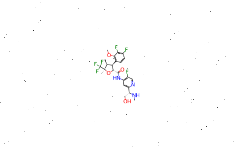 CN[C@H](CO)c1cc(NC(=O)[C@@H]2O[C@@](C)(C(F)(F)F)[C@@H](C)[C@H]2c2ccc(F)c(F)c2OC)c(F)cn1